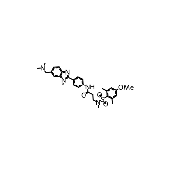 COc1cc(C)c(S(=O)(=O)N(C)CCC(=O)Nc2ccc(-c3nc4ccc(CN(C)C)cc4n3C)cc2)c(C)c1